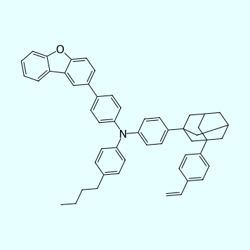 C=Cc1ccc(C23CC4CC(C2)CC(c2ccc(N(c5ccc(CCCC)cc5)c5ccc(-c6ccc7oc8ccccc8c7c6)cc5)cc2)(C4)C3)cc1